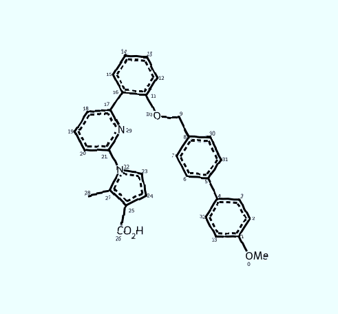 COc1ccc(-c2ccc(COc3ccccc3-c3cccc(-n4ccc(C(=O)O)c4C)n3)cc2)cc1